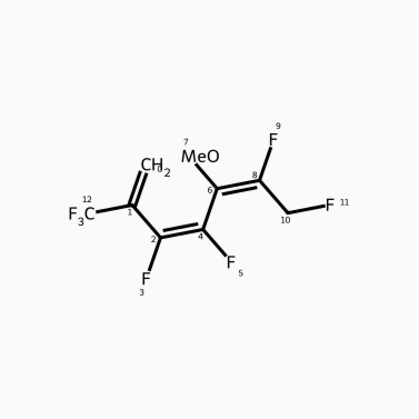 C=C(/C(F)=C(F)\C(OC)=C(\F)CF)C(F)(F)F